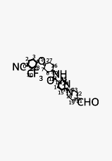 N#Cc1ccc(O[C@H]2CC[C@H](NC(=O)c3ccc(N4CCC(C=O)CC4)nn3)CC2)cc1C(F)(F)F